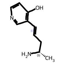 C[C@H](N)C/C=C/c1cnccc1O